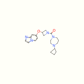 O=C(N1CCCN(C2CCC2)CC1)N1CC(Oc2ccn3ccnc3c2)C1